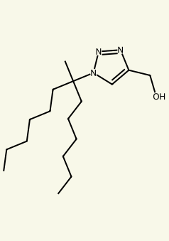 CCCCCCC(C)(CCCCCC)n1cc(CO)nn1